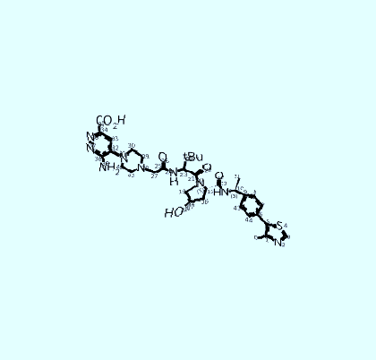 Cc1ncsc1-c1ccc([C@H](C)NC(=O)[C@@H]2C[C@@H](O)CN2C(=O)C(NC(=O)CN2CCN(c3cc(C(=O)O)nnc3N)CC2)C(C)(C)C)cc1